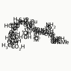 CCC(C)C(NC(=O)C(Cc1ccc(O)cc1)NC(=O)c1csc(C(Cc2ccccc2)NC(=O)c2csc(C(CC(N)=O)NC(=O)c3csc(C(CO)NC(=O)C(C)NC)n3)n2)n1)c1nc(-c2nc(C(=O)NC(CO)c3nc(C(=O)NC(CO)C(=O)NC(CO)C(=O)NC(C)C(=O)O)cs3)cs2)cs1